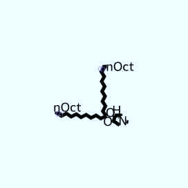 CCCCCCCC/C=C\CCCCCCCCC1(CCCCCCCC/C=C\CCCCCCCC)OC2CN(C)C[C@@H]2O1